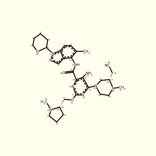 Cc1ccc2c(cnn2C2CCCCO2)c1NC(=O)c1nc(OC[C@@H]2CCCN2C)nc(N2CCN(C)[C@@H](CC#N)C2)c1N